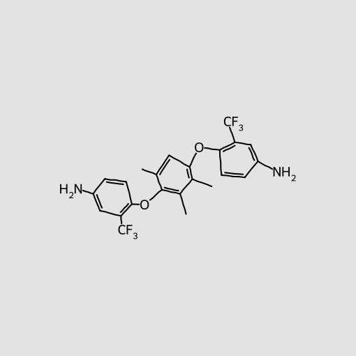 Cc1cc(Oc2ccc(N)cc2C(F)(F)F)c(C)c(C)c1Oc1ccc(N)cc1C(F)(F)F